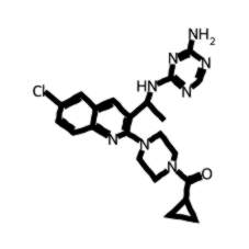 CC(Nc1ncnc(N)n1)c1cc2cc(Cl)ccc2nc1N1CCN(C(=O)C2CC2)CC1